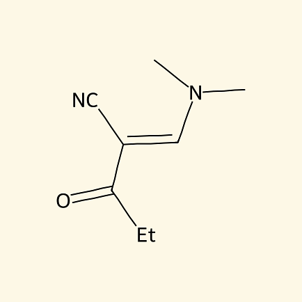 CCC(=O)C(C#N)=CN(C)C